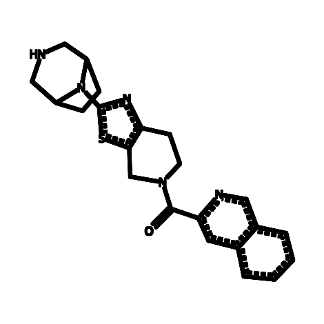 O=C(c1cc2ccccc2cn1)N1CCc2nc(N3C4CCC3CNC4)sc2C1